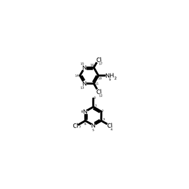 Cc1cc(Cl)nc(Cl)n1.Nc1c(Cl)ncnc1Cl